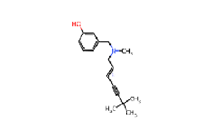 CN(C/C=C/C#CC(C)(C)C)Cc1cccc(O)c1